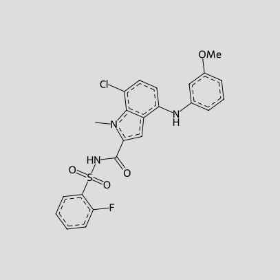 COc1cccc(Nc2ccc(Cl)c3c2cc(C(=O)NS(=O)(=O)c2ccccc2F)n3C)c1